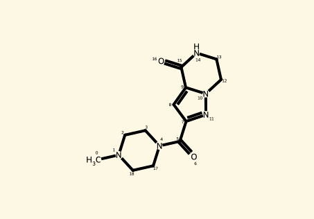 CN1CCN(C(=O)c2cc3n(n2)CCNC3=O)CC1